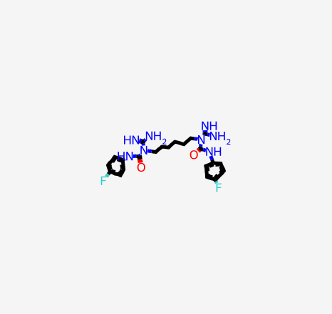 N=C(N)N(CCCCCCN(C(=N)N)C(=O)Nc1ccc(F)cc1)C(=O)Nc1ccc(F)cc1